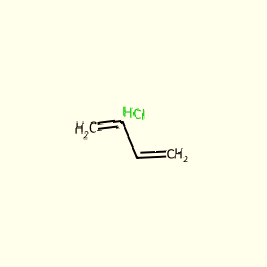 C=CC=C.Cl